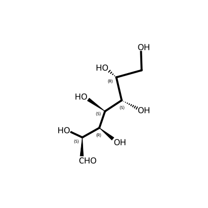 O=C[C@@H](O)[C@H](O)[C@@H](O)[C@@H](O)[C@H](O)CO